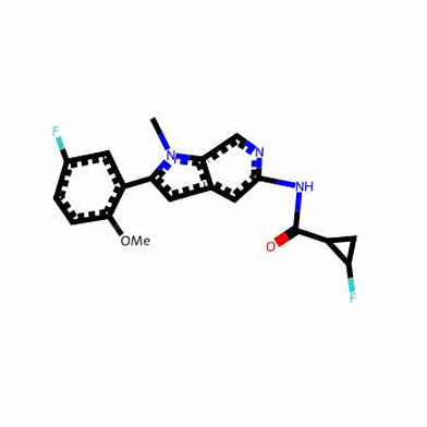 COc1ccc(F)cc1-c1cc2cc(NC(=O)C3CC3F)ncc2n1C